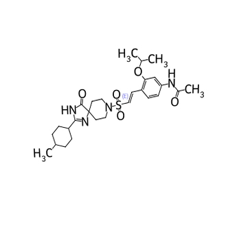 CC(=O)Nc1ccc(/C=C/S(=O)(=O)N2CCC3(CC2)N=C(C2CCC(C)CC2)NC3=O)c(OC(C)C)c1